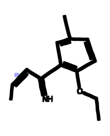 C/C=C\C(=N)c1cc(C)ccc1OCC